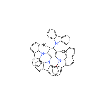 N#Cc1c(-n2c3ccccc3c3ccccc32)c(C#N)c(-n2c3ccccc3c3ccc4ccccc4c32)c(-n2c3ccccc3c3ccccc32)c1-n1c2ccccc2c2ccccc21